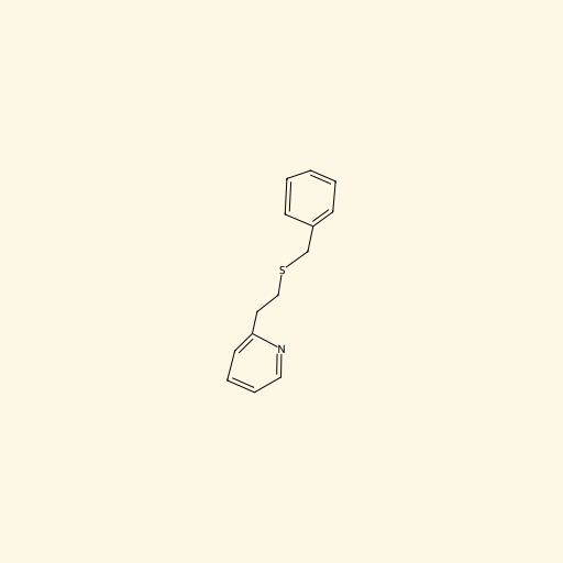 c1ccc(CSCCc2ccccn2)cc1